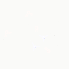 CN1C(=O)N(C23CC4CC(CC(C4)C2)C3)C(=O)C1(Cc1ccoc1)Cc1ccoc1